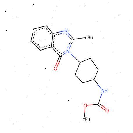 CCCCc1nc2ccccc2c(=O)n1C1CCC(NC(=O)OC(C)(C)C)CC1